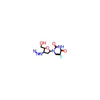 [N-]=[N+]=NC1CC(n2cc(F)c(=O)[nH]c2=O)OC1CO